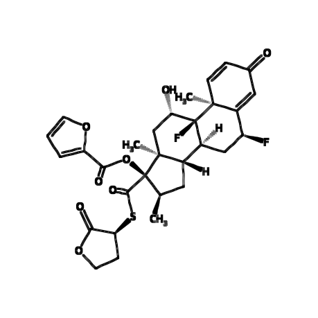 C[C@@H]1C[C@H]2[C@@H]3C[C@H](F)C4=CC(=O)C=C[C@]4(C)[C@@]3(F)[C@@H](O)C[C@]2(C)[C@@]1(OC(=O)c1ccco1)C(=O)S[C@H]1CCOC1=O